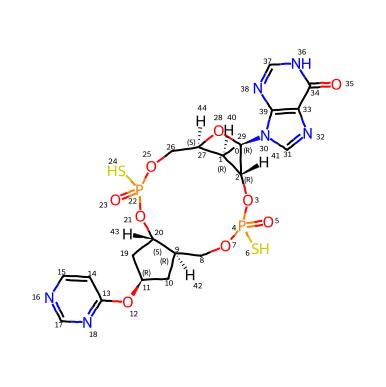 C[C@H]1[C@H]2OP(=O)(S)OC[C@H]3C[C@@H](Oc4ccncn4)C[C@@H]3OP(=O)(S)OC[C@H]1O[C@H]2n1cnc2c(=O)[nH]cnc21